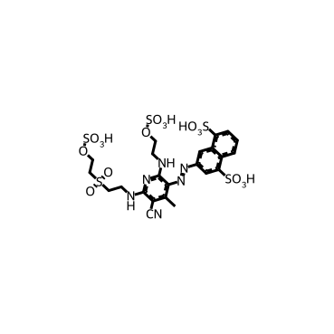 Cc1c(C#N)c(NCCS(=O)(=O)CCOS(=O)(=O)O)nc(NCCOS(=O)(=O)O)c1/N=N/c1cc(S(=O)(=O)O)c2cccc(S(=O)(=O)O)c2c1